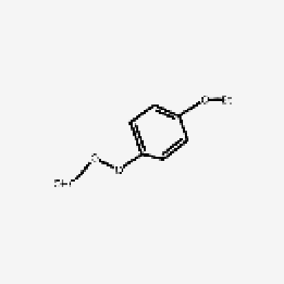 CCOc1ccc(OO[C]=O)cc1